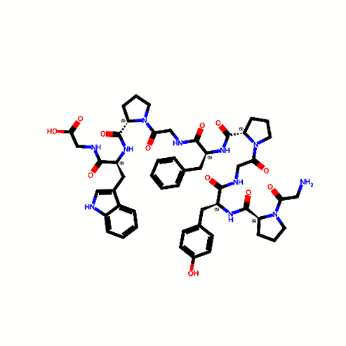 NCC(=O)N1CCC[C@H]1C(=O)N[C@@H](Cc1ccc(O)cc1)C(=O)NCC(=O)N1CCC[C@H]1C(=O)N[C@@H](Cc1ccccc1)C(=O)NCC(=O)N1CCC[C@H]1C(=O)N[C@@H](Cc1c[nH]c2ccccc12)C(=O)NCC(=O)O